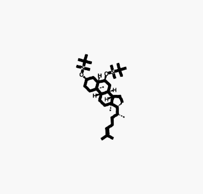 CC(C)=CCC[C@@H](C)[C@H]1CC[C@H]2[C@@H]3C[C@H](O[Si](C)(C)C(C)(C)C)[C@@H]4C[C@H](O[Si](C)(C)C(C)(C)C)CC[C@]4(C)[C@H]3CC[C@]12C